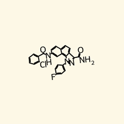 NC(=O)c1nn(-c2ccc(F)cc2)c2c1ccc1ccc(NC(=O)c3ccccc3Cl)cc12